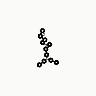 c1ccc(-c2ccc(N(c3ccc(-c4ccccc4)cc3)c3ccc(-c4ccc5c(c4)c4ccccc4n5-c4cccc5c(-c6cccc7c6oc6ccccc67)cccc45)cc3)cc2)cc1